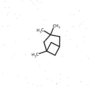 CC1(C)CC2CC(C)(C2)C1